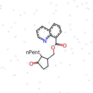 CCCCCC1C(=O)CCC1COC(=O)c1cccc2cccnc12